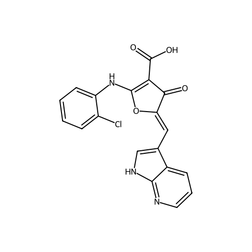 O=C(O)C1=C(Nc2ccccc2Cl)OC(=Cc2c[nH]c3ncccc23)C1=O